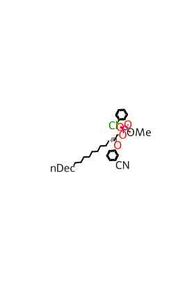 CCCCCCCCCCCCCCCCCCC[C@H](COP(=O)(OC)Oc1ccccc1Cl)Oc1cccc(C#N)c1